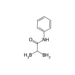 BC(B)C(=O)Nc1ccccc1